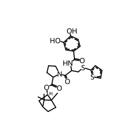 CC1(C)C2CCC1(C)[C@H](OC(=O)C1CCCN1C(=O)C(CSc1cccs1)NC(=O)c1ccc(O)c(O)c1)C2